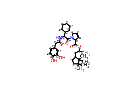 CC(CC1CCC(C)(C)C1(C)C)OC(=O)C1C=CCN1C(=O)C(NC(=O)Cc1ccc(O)c(O)c1)C1CCCCC1